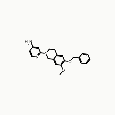 COc1cc2c(cc1OCc1ccccc1)CCN(c1cc(N)ccn1)C2